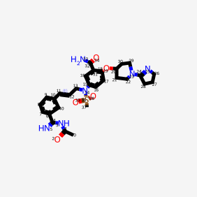 CC(=O)NC(=N)c1cccc(/C=C/CN(c2ccc(OC3CCN(C4=NCCC4)CC3)c(C(N)=O)c2)S(C)(=O)=O)c1